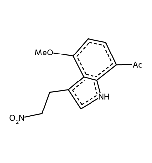 COc1ccc(C(C)=O)c2[nH]cc(CC[N+](=O)[O-])c12